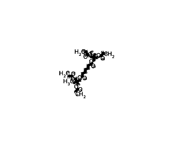 C=CC(=O)OCC(CC)(COC(=O)C=C)COC(=O)CCCCCC(=O)OCC(CC)(COC(=O)C=C)COC(=O)C=C